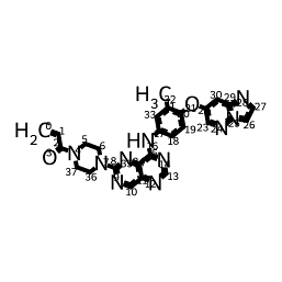 C=CC(=O)N1CCN(c2ncc3ncnc(Nc4ccc(Oc5cnn6ccnc6c5)c(C)c4)c3n2)CC1